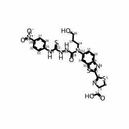 O=C(O)[C@H]1CSC(c2nc3ccc(N(CCCO)C(=O)NNC(=S)Nc4ccc([N+](=O)[O-])cc4)cc3s2)=N1